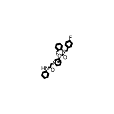 O=C(C[N+]12CCC(CC1)C(OC(=O)N(Cc1ccc(F)cc1)c1ccccc1F)C2)Nc1ccccc1